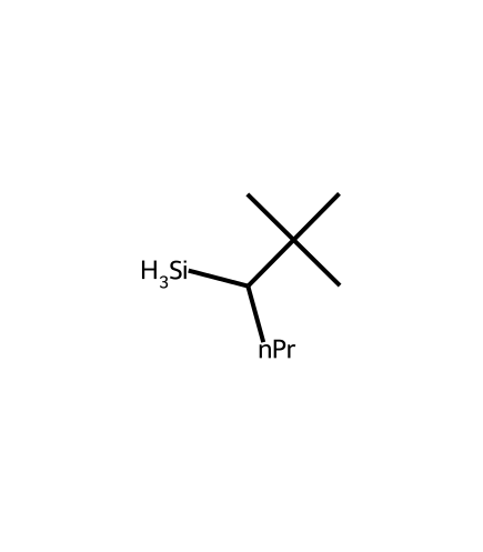 CCCC([SiH3])C(C)(C)C